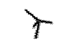 CCCCCCCCCCCCCC[Si](CCCCCC)(CCCCCCCCCC)CCCCCCCCCCCCCC